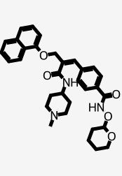 CN1CCC(NC(=O)C(=Cc2ccc(C(=O)NOC3CCCCO3)cc2)COc2cccc3ccccc23)CC1